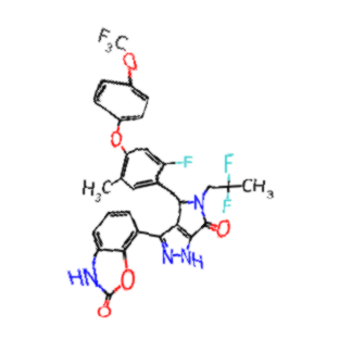 Cc1cc(C2c3c(-c4cccc5[nH]c(=O)oc45)n[nH]c3C(=O)N2CC(C)(F)F)c(F)cc1Oc1ccc(OC(F)(F)F)cc1